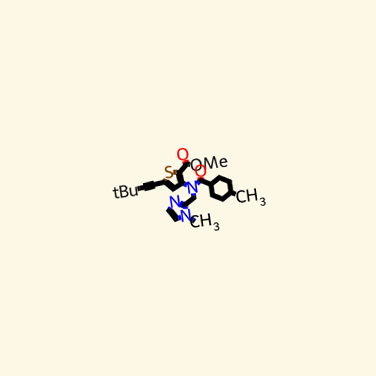 COC(=O)c1sc(C#CC(C)(C)C)cc1N(Cc1nccn1C)C(=O)C1CCC(C)CC1